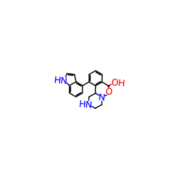 CN1CCNCC1c1c(C(=O)O)cccc1-c1cccc2[nH]ccc12